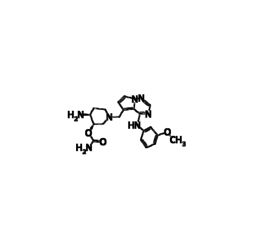 COc1cccc(Nc2ncnn3ccc(CN4CC[C@H](N)[C@H](OC(N)=O)C4)c23)c1